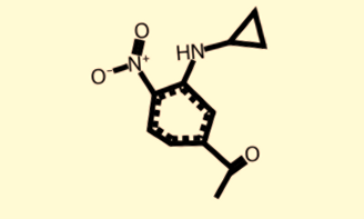 CC(=O)c1ccc([N+](=O)[O-])c(NC2CC2)c1